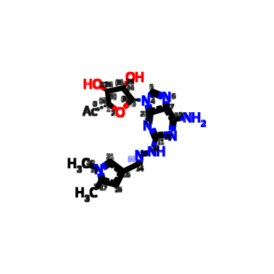 CC(=O)[C@H]1O[C@@H](n2cnc3c(N)nc(N/N=C/c4cc(C)n(C)c4)nc32)[C@H](O)[C@@H]1O